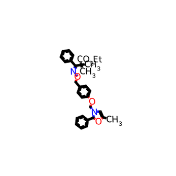 CCOC(=O)C(C)(C)/C(=N\OCc1ccc(OCN2C=C(C)OC2c2ccccc2)cc1)c1ccccc1